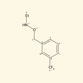 CCNOCc1cccc(C(F)(F)F)c1